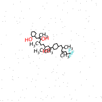 CC(CC1CCC([C@@H](O)CC(CCC(C)C(O)[C@H](C)CC2CCCCC2O)C(C)C)CC1)C[C@@H](C)CCC(F)(F)F